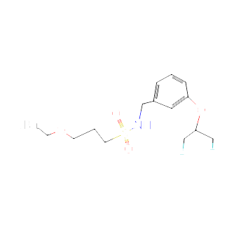 C[C@@H](NS(=O)(=O)CCCOCC(C)(C)C)c1cccc(OC(CF)CF)c1